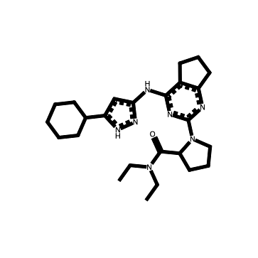 CCN(CC)C(=O)C1CCCN1c1nc2c(c(Nc3cc(C4CCCCC4)[nH]n3)n1)CCC2